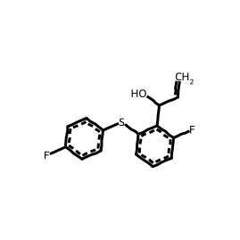 C=CC(O)c1c(F)cccc1Sc1ccc(F)cc1